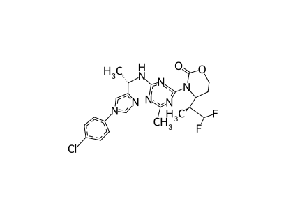 Cc1nc(N[C@@H](C)c2cn(-c3ccc(Cl)cc3)cn2)nc(N2C(=O)OCCC2[C@H](C)C(F)F)n1